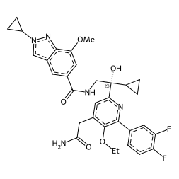 CCOc1c(CC(N)=O)cc([C@@](O)(CNC(=O)c2cc(OC)c3nn(C4CC4)cc3c2)C2CC2)nc1-c1ccc(F)c(F)c1